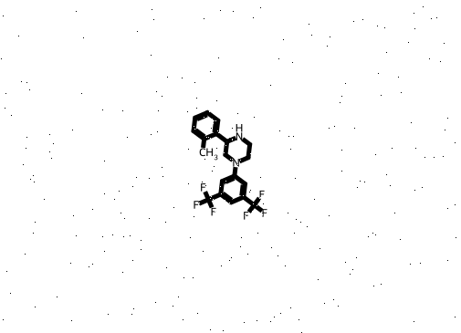 Cc1ccccc1C1CN(c2cc(C(F)(F)F)cc(C(F)(F)F)c2)CCN1